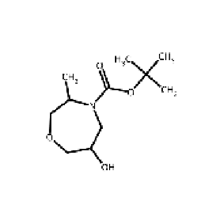 CC1COCC(O)CN1C(=O)OC(C)(C)C